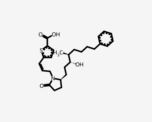 C[C@@H](CCCCc1ccccc1)[C@H](O)CC[C@H]1CCC(=O)N1C/C=C\c1ccc(C(=O)O)s1